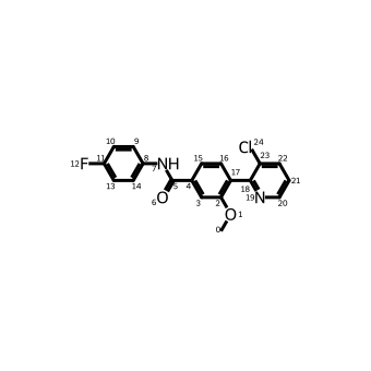 COc1cc(C(=O)Nc2ccc(F)cc2)ccc1-c1ncccc1Cl